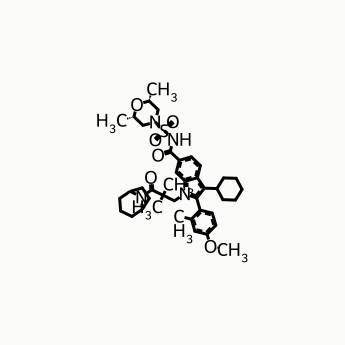 COc1ccc(-c2c(C3CCCCC3)c3ccc(C(=O)NS(=O)(=O)N4C[C@@H](C)O[C@@H](C)C4)cc3n2CC(C)(C)C(=O)N2C3CCCC2CC3)c(C)c1